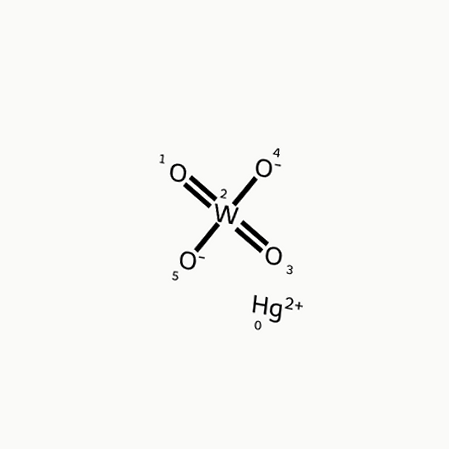 [Hg+2].[O]=[W](=[O])([O-])[O-]